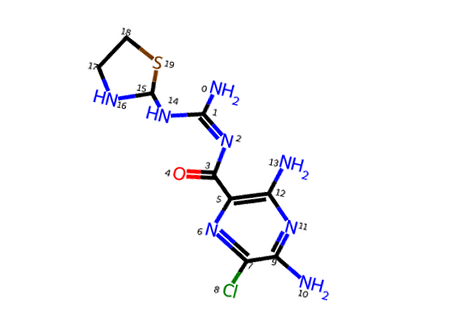 NC(=NC(=O)c1nc(Cl)c(N)nc1N)NC1NCCS1